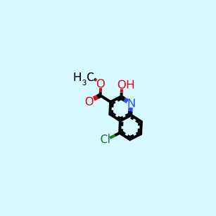 COC(=O)c1cc2c(Cl)cccc2nc1O